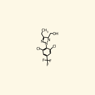 CCc1nn(-c2c(Cl)cc(C(F)(F)F)cc2Cl)nc1CO